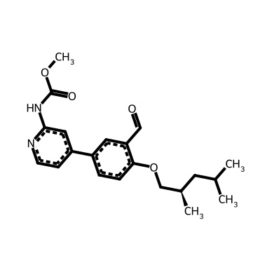 COC(=O)Nc1cc(-c2ccc(OC[C@H](C)CC(C)C)c(C=O)c2)ccn1